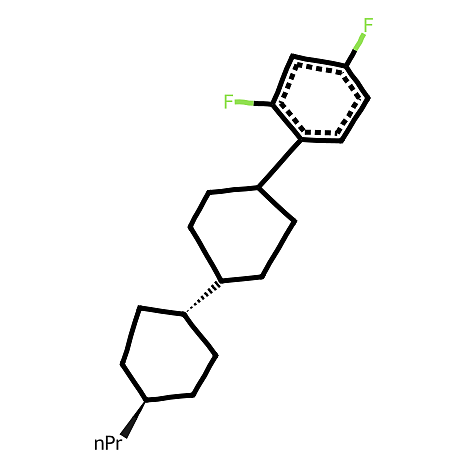 CCC[C@H]1CC[C@H](C2CCC(c3ccc(F)cc3F)CC2)CC1